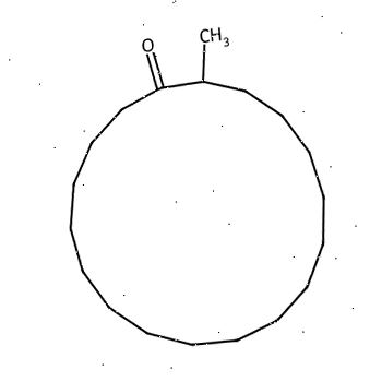 CC1CCCCCCCCCCCCCCCCC1=O